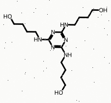 OCCCCNc1nc(NCCCCO)nc(NCCCCO)n1